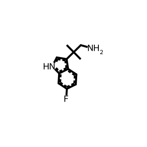 CC(C)(CN)c1c[nH]c2cc(F)ccc12